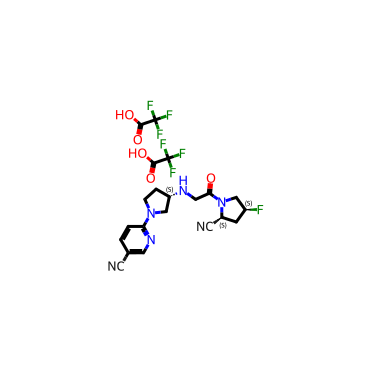 N#Cc1ccc(N2CC[C@H](NCC(=O)N3C[C@@H](F)C[C@H]3C#N)C2)nc1.O=C(O)C(F)(F)F.O=C(O)C(F)(F)F